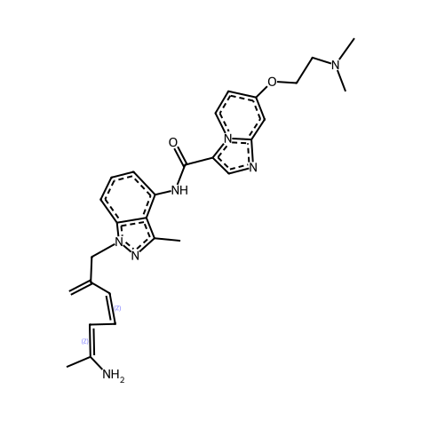 C=C(/C=C\C=C(\C)N)Cn1nc(C)c2c(NC(=O)c3cnc4cc(OCCN(C)C)ccn34)cccc21